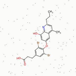 CCCc1cc(C)c2cc(Oc3c(Br)cc(CCC(=O)O)cc3Br)cc(O)c2n1